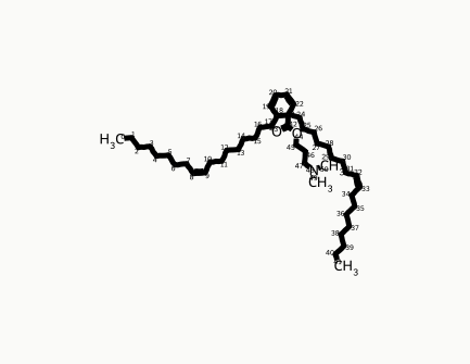 CCCCCCCC/C=C\CCCCCCCCC1C=CC=CC1(CCCCCCCC/C=C\CCCCCCCC)C(=O)OCCCN(C)C